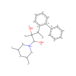 CC1CC(C)CN(C(O)C(C)(O)C(C)c2ccccc2-c2ccccc2)C1